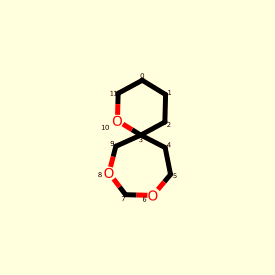 C1CCC2(CCOCOC2)OC1